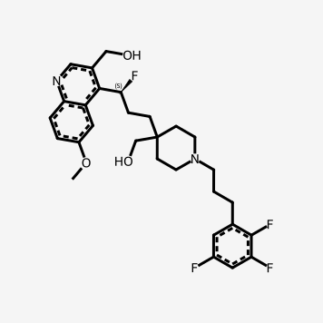 COc1ccc2ncc(CO)c([C@@H](F)CCC3(CO)CCN(CCCc4cc(F)cc(F)c4F)CC3)c2c1